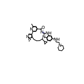 Cc1cc2cc(n1)-c1cnn(C)c1CCCC(C1CC1)N1/C(=N/C2=O)Nc2cc(NCCN3CCCCC3)ccc21